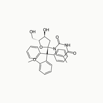 COc1ccccc1C(c1ccccc1)(c1ccccc1)[C@]1(n2cc(C)c(=O)[nH]c2=O)C[C@H](O)[C@@H](CO)O1